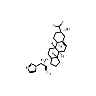 C=C(Cn1ccnc1)[C@H]1CC[C@H]2[C@@H]3CC=C4C[C@](O)(C(F)F)CC[C@@H]4[C@H]3CC[C@]12C